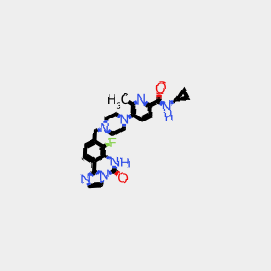 Cc1nc(C(=O)NC2CC2)ccc1N1CCN(Cc2ccc3c([nH]c(=O)n4ccnc34)c2F)CC1